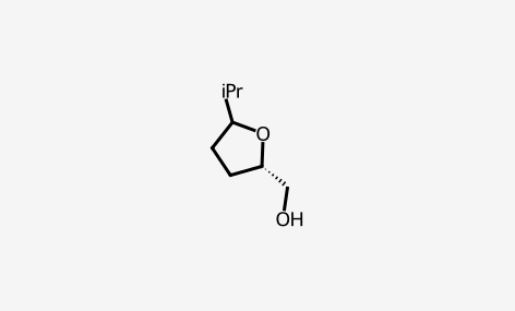 CC(C)C1CC[C@@H](CO)O1